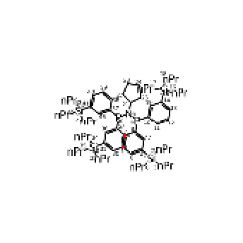 CCC[Si](CCC)(CCC)c1cccc(P(c2cccc([Si](CCC)(CCC)CCC)c2)N(C2CCCC2)P(c2cccc([Si](CCC)(CCC)CCC)c2)c2cccc([Si](CCC)(CCC)CCC)c2)c1